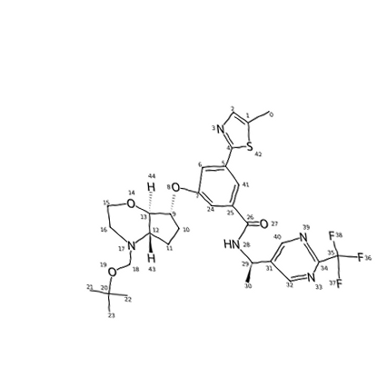 Cc1cnc(-c2cc(O[C@@H]3CC[C@H]4[C@H]3OCCN4COC(C)(C)C)cc(C(=O)N[C@H](C)c3cnc(C(F)(F)F)nc3)c2)s1